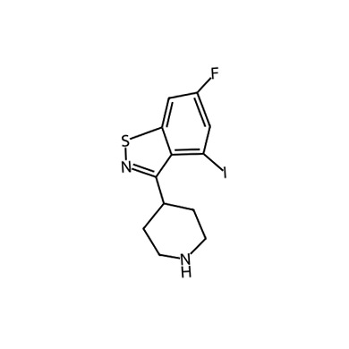 Fc1cc(I)c2c(C3CCNCC3)nsc2c1